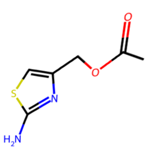 CC(=O)OCc1csc(N)n1